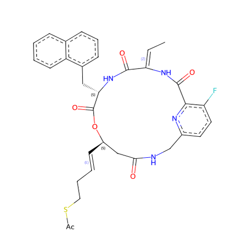 C/C=C1\NC(=O)c2nc(ccc2F)CNC(=O)C[C@@H](/C=C/CCSC(C)=O)OC(=O)[C@H](Cc2cccc3ccccc23)NC1=O